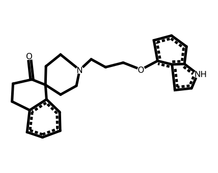 O=C1CCc2ccccc2C12CCN(CCCOc1cccc3[nH]ccc13)CC2